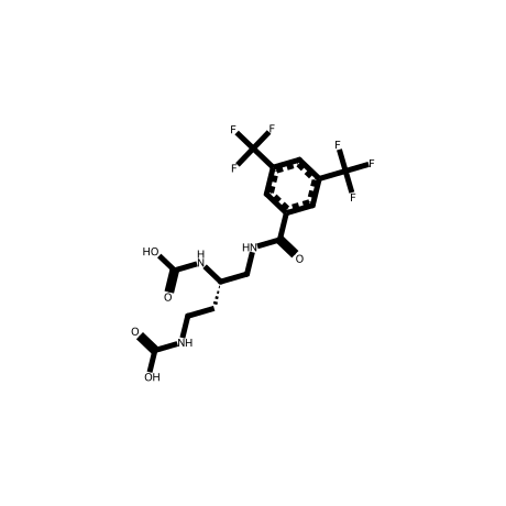 O=C(O)NCC[C@@H](CNC(=O)c1cc(C(F)(F)F)cc(C(F)(F)F)c1)NC(=O)O